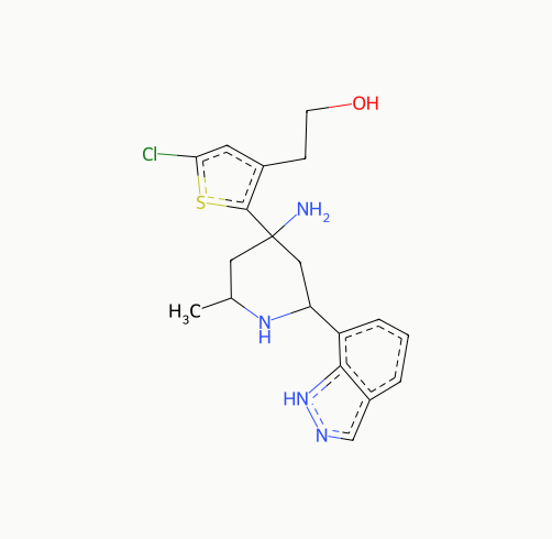 CC1CC(N)(c2sc(Cl)cc2CCO)CC(c2cccc3cn[nH]c23)N1